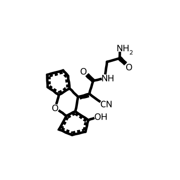 N#CC(C(=O)NCC(N)=O)=C1c2ccccc2Oc2cccc(O)c21